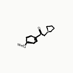 COc1ccc(C(=O)CB2CCCC2)cc1